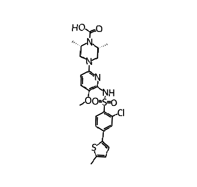 COc1ccc(N2C[C@@H](C)N(C(=O)O)[C@@H](C)C2)nc1NS(=O)(=O)c1ccc(-c2ccc(C)s2)cc1Cl